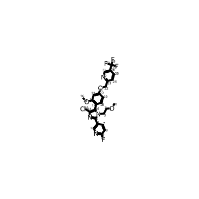 COCCn1c(-c2ccc(F)nc2)nc(Cl)c1-c1ccc(OCc2ccc(C(F)(F)F)cn2)cc1OC